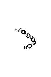 Cc1ccc(N2CCN(c3cc4c(ccn4C4CCNCC4)cn3)CC2)cc1